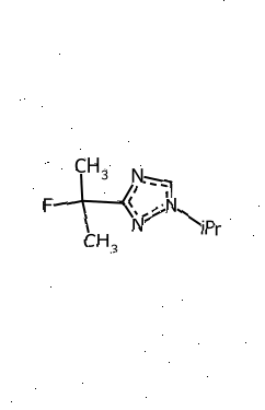 CC(C)n1cnc(C(C)(C)F)n1